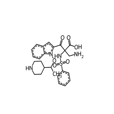 CC(On1c(C(=O)C(CN)(NS(=O)(=O)c2ccccc2)C(=O)O)cc2ccccc21)C1CCNCC1